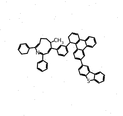 C[C@@H]1CC/C=C(C2=CC=CCC2)/N=C(c2ccccc2)\C=C/1c1cccc(C2CC=Cc3c2c2ccc(-c4ccc5sc6ccccc6c5c4)cc2c2ccccc32)c1